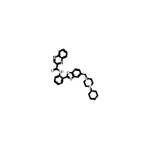 O=C(Nc1ccccc1-c1nc2cc(CN3CCN(C4CCCCC4)CC3)ccc2o1)c1cnc2ccccc2n1